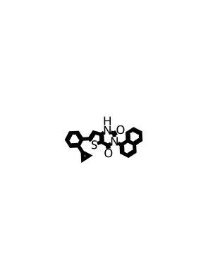 O=c1[nH]c2cc(-c3ccccc3C3CC3)sc2c(=O)n1-c1cccc2ccccc12